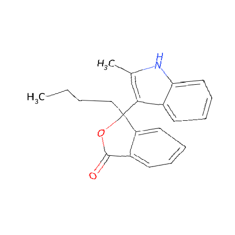 CCCCC1(c2c(C)[nH]c3ccccc23)OC(=O)c2ccccc21